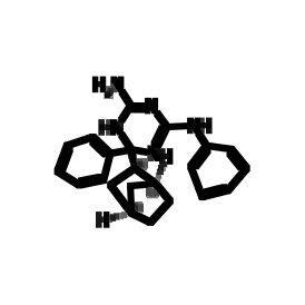 NC1=NC(Nc2ccccc2)=NC(c2ccccc2)([C@@H]2C[C@@H]3CC[C@H]2C3)N1